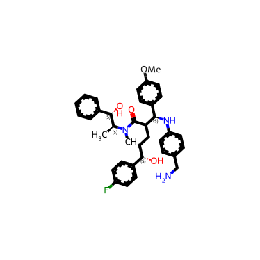 COc1ccc([C@@H](Nc2ccc(CN)cc2)C(CC[C@H](O)c2ccc(F)cc2)C(=O)N(C)[C@@H](C)[C@@H](O)c2ccccc2)cc1